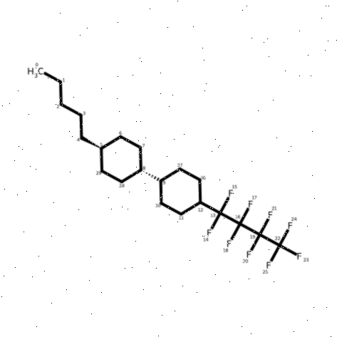 CCCCC[C@H]1CC[C@H](C2CCC(C(F)(F)C(F)(F)C(F)(F)C(F)(F)F)CC2)CC1